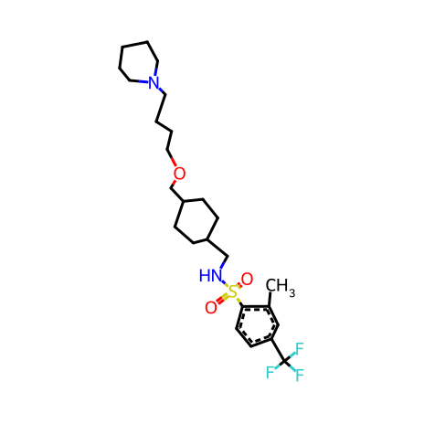 Cc1cc(C(F)(F)F)ccc1S(=O)(=O)NCC1CCC(COCCCCN2CCCCC2)CC1